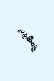 C=N\C=C/C=C(C)/C=C/C(=O)NCc1cc2cc(-c3ccc(C(=O)N4CCOCC4)cc3)cc(C(F)(F)F)c2o1